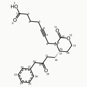 O=C(O)CCCC#CCN1C(=O)OCC[C@@H]1CCC(=O)Cc1ccccc1